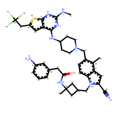 CNc1nc(NC2CCN(Cc3ccc4c(cc(C#N)n4CC4CC(C)(NC(=O)Cc5cccc(N)c5)C4)c3C)CC2)c2cc(CC(F)(F)F)sc2n1